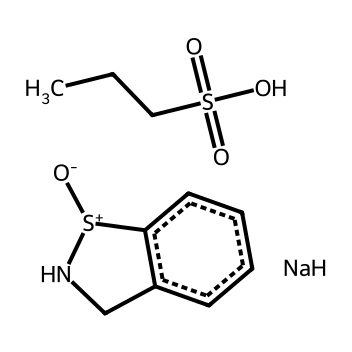 CCCS(=O)(=O)O.[NaH].[O-][S+]1NCc2ccccc21